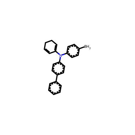 Bc1ccc(N(C2=CCCC=C2)c2ccc(-c3ccccc3)cc2)cc1